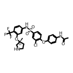 CC(=O)Nc1ccc(Oc2ccc(S(=O)(=O)Nc3ccc(C(F)(F)F)c(O[C@]4(C)CCNC4)c3)cc2Cl)cc1